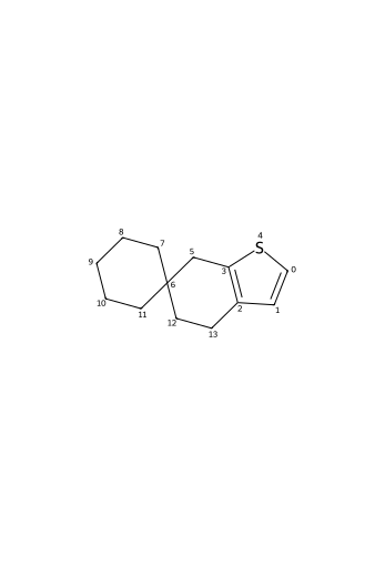 c1cc2c(s1)CC1(CCCCC1)CC2